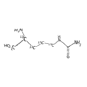 NC(=O)N[13CH2][13CH2][13CH2][13CH](N)[13C](=O)O